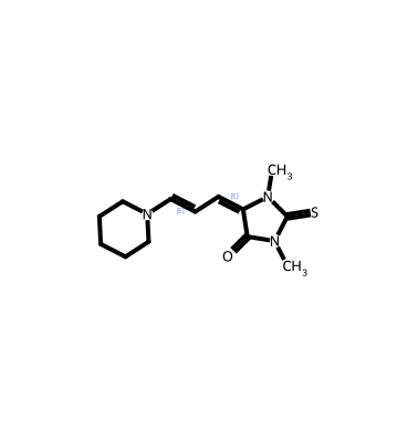 CN1C(=O)/C(=C\C=C\N2CCCCC2)N(C)C1=S